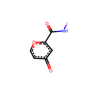 O=C(NI)c1cc(=O)cco1